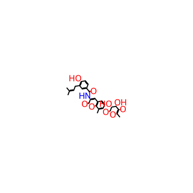 COC1=C(C)OC(Oc2ccc3cc(NC(=O)c4ccc(O)c(CC=C(C)C)c4)c(=O)oc3c2C)C(O)C1O